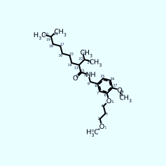 COCCCOc1cc(CNC(=O)C(CCCCCC(C)C)C(C)C)ccc1OC